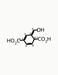 O=C(O)C1=CC(=CO)C(C(=O)O)C=C1